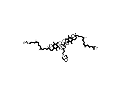 Cc1c(C)c2c(c(C)c1OC(=O)C(OC(=O)CCN1CCOCC1)C(=O)Oc1c(C)c(C)c3c(c1C)CC[C@@](C)(CCC[C@H](C)CCC[C@H](C)CCCC(C)C)O3)CC[C@@](C)(CCC[C@H](C)CCC[C@H](C)CCCC(C)C)O2